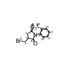 O=C1CC(CBr)C(=O)N1c1ccccc1C(F)(F)F